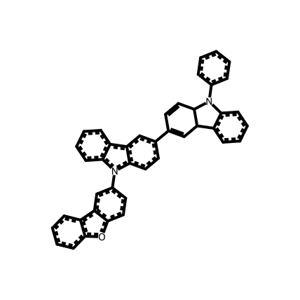 C1=CC2C(C=C1c1ccc3c(c1)c1ccccc1n3-c1ccc3oc4ccccc4c3c1)c1ccccc1N2c1ccccc1